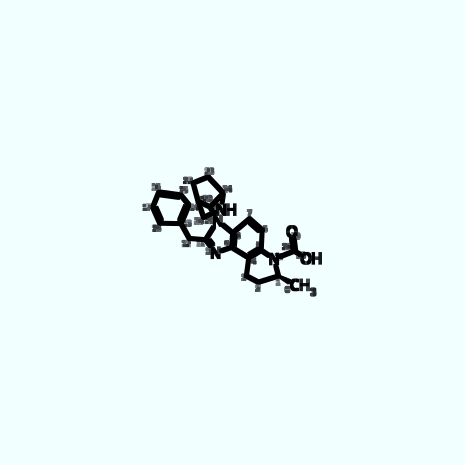 C[C@H]1CCc2c(ccc3c2nc(Cc2ccccc2)n3C2C3CCC2NC3)N1C(=O)O